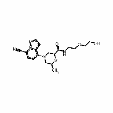 CC1CN(c2ccc(C#N)n3nccc23)CC(C(=O)NCCOCCO)O1